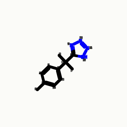 Cc1ccc(C(C)(C)c2nnn[nH]2)cc1